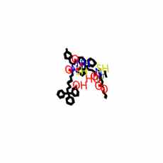 C=CCOC(=O)C[C@H](O)[C@@H](C(C)C)N(S)C(=O)CCC(c1ccccc1)(c1ccccc1)c1ccccc1NC(=O)C(Cc1ccc(C)cc1)N(S)C(=O)CCC=CCCC(c1ccccc1)(c1ccccc1)c1cccc(O)c1